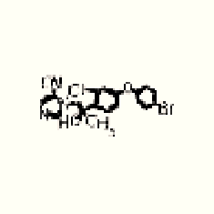 CC(O)(Cn1cncc1C#N)c1ccc(Oc2ccc(Br)cc2)cc1Cl